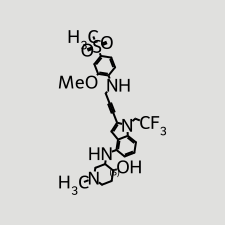 COc1cc(S(C)(=O)=O)ccc1NCC#Cc1cc2c(NC3CN(C)CC[C@@H]3O)cccc2n1CC(F)(F)F